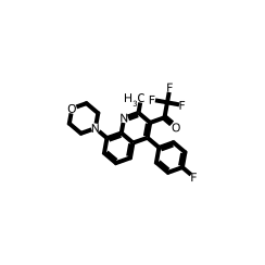 Cc1nc2c(N3CCOCC3)cccc2c(-c2ccc(F)cc2)c1C(=O)C(F)(F)F